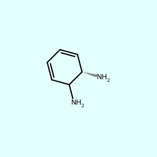 NC1C=CC=C[C@@H]1N